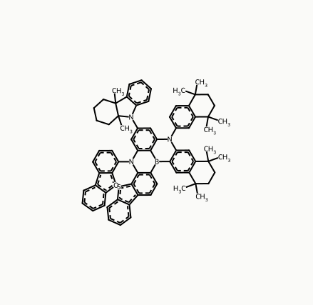 CC1(C)CCC(C)(C)c2cc(N3c4cc5c(cc4B4c6ccc7c(sc8ccccc87)c6N(c6cccc7c6oc6ccccc67)c6cc(N7c8ccccc8C8(C)CCCCC78C)cc3c64)C(C)(C)CCC5(C)C)ccc21